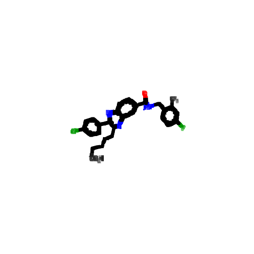 O=C(O)CCCCc1nc2cc(C(=O)NCc3ccc(F)cc3C(F)(F)F)ccc2nc1-c1ccc(Cl)cc1